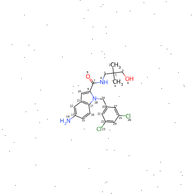 CC(C)(CO)CNC(=O)c1cc2cc(N)ccc2n1Cc1cc(Cl)cc(Cl)c1